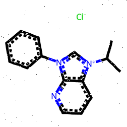 CC(C)[n+]1cn(-c2ccccc2)c2ncccc21.[Cl-]